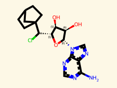 Nc1ncnc2c1ncn2[C@@H]1O[C@H](C(Cl)C23CCC(CC2)C3)[C@@H](O)[C@H]1O